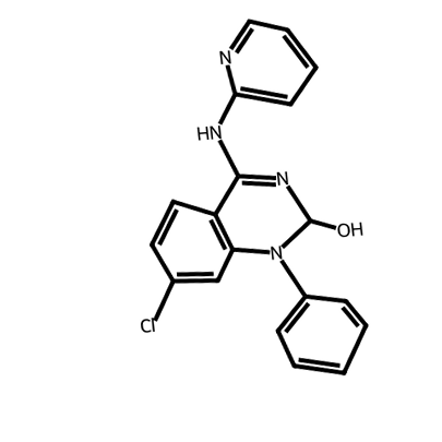 OC1N=C(Nc2ccccn2)c2ccc(Cl)cc2N1c1ccccc1